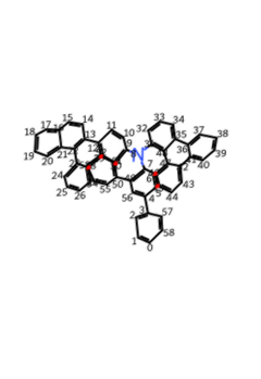 c1ccc(-c2ccc(N(c3ccc(-c4ccc5ccccc5c4-c4ccccc4)cc3)c3cccc4c5ccccc5c5ccccc5c34)c(-c3ccccc3)c2)cc1